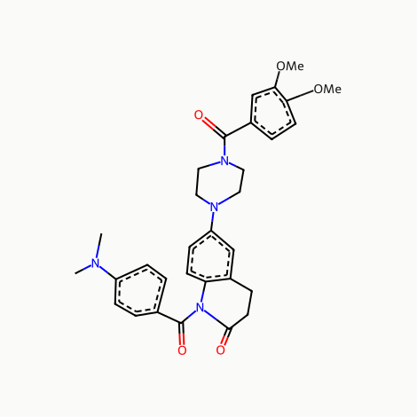 COc1ccc(C(=O)N2CCN(c3ccc4c(c3)CCC(=O)N4C(=O)c3ccc(N(C)C)cc3)CC2)cc1OC